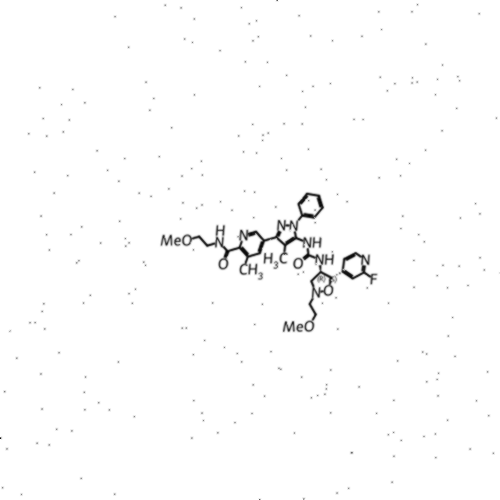 COCCNC(=O)c1ncc(-c2nn(-c3ccccc3)c(NC(=O)N[C@@H]3CN(CCOC)O[C@H]3c3ccnc(F)c3)c2C)cc1C